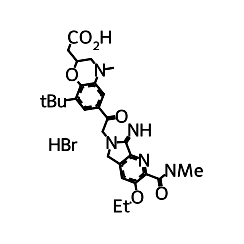 Br.CCOc1cc2c(nc1C(=O)NC)C(=N)N(CC(=O)c1cc3c(c(C(C)(C)C)c1)OC(CC(=O)O)CN3C)C2